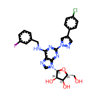 OC[C@H]1O[C@@H](n2cnc3c(NCc4cccc(I)c4)nc(-n4cc(-c5ccc(Cl)cc5)cn4)nc32)[C@H](O)[C@@H]1O